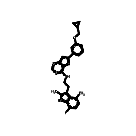 Cc1[nH]c2c(F)ccc(C)c2c1CCNc1ncnc2cc(-c3cccc(OCC4CC4)c3)sc12